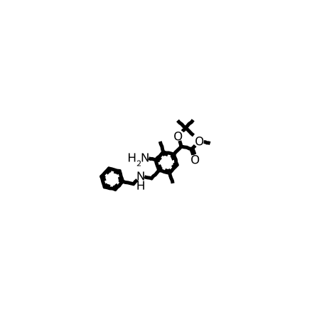 COC(=O)C(OC(C)(C)C)c1cc(C)c(CNCc2ccccc2)c(N)c1C